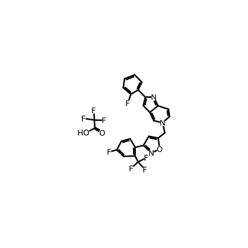 Fc1ccc(-c2cc(Cn3ccc4nc(-c5ccccc5F)cc-4c3)on2)c(C(F)(F)F)c1.O=C(O)C(F)(F)F